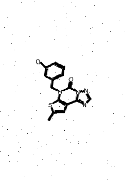 Cc1cc2c(s1)n(Cc1cccc(Cl)c1)c(=O)n1ncnc21